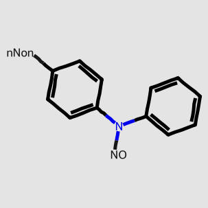 CCCCCCCCCc1ccc(N(N=O)c2ccccc2)cc1